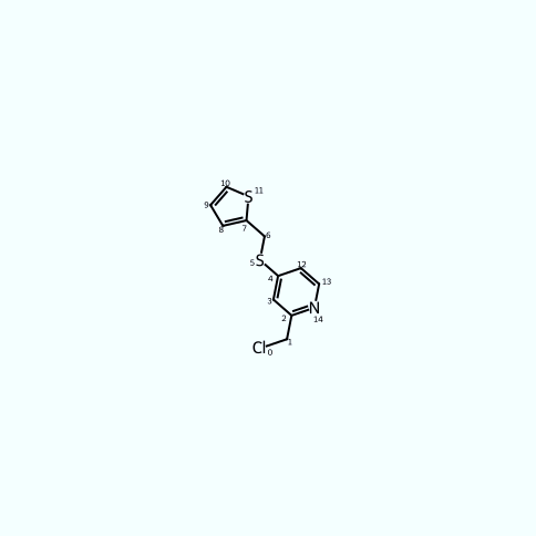 ClCc1cc(SCc2cccs2)ccn1